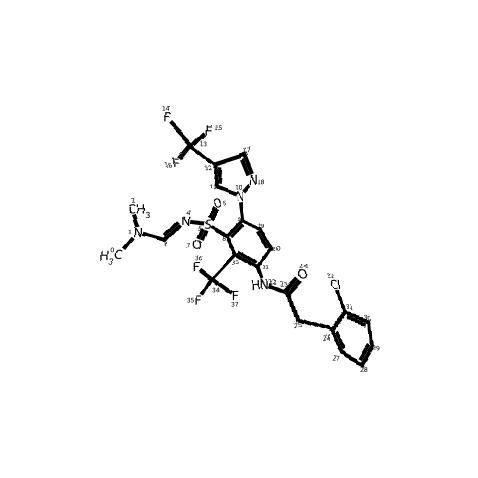 CN(C)C=NS(=O)(=O)c1c(-n2cc(C(F)(F)F)cn2)ccc(NC(=O)Cc2ccccc2Cl)c1C(F)(F)F